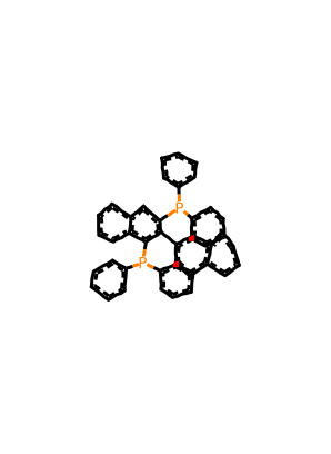 c1ccc(P(c2ccccc2)c2cc3ccccc3c(P(c3ccccc3)c3ccccc3)c2-c2ccc3ccccc3c2)cc1